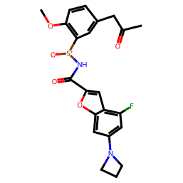 COc1ccc(CC(C)=O)cc1[S+]([O-])NC(=O)c1cc2c(F)cc(N3CCC3)cc2o1